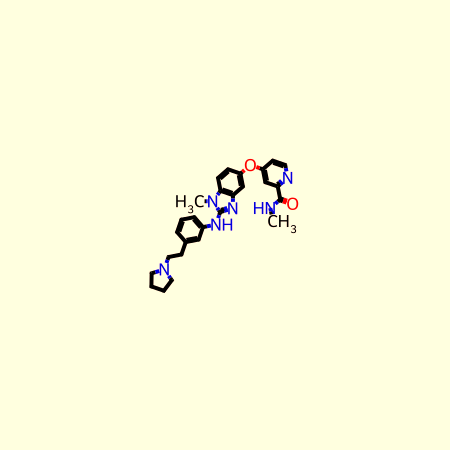 CNC(=O)c1cc(Oc2ccc3c(c2)nc(Nc2cccc(CCN4CCCC4)c2)n3C)ccn1